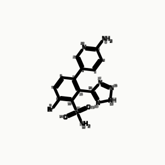 Nc1ccc(-c2ccc(Br)c(S(N)(=O)=O)c2-c2nn[nH]n2)cn1